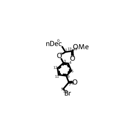 CCCCCCCCCCC(Oc1ccc(C(=O)CBr)cc1)C(=O)OC